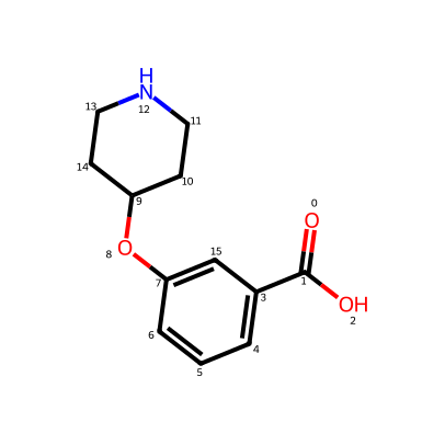 O=C(O)c1cccc(OC2CCNCC2)c1